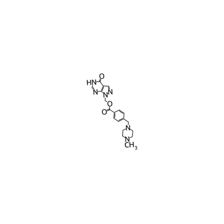 CN1CCN(Cc2ccc(C(=O)OCn3ncc4c(=O)[nH]cnc43)cc2)CC1